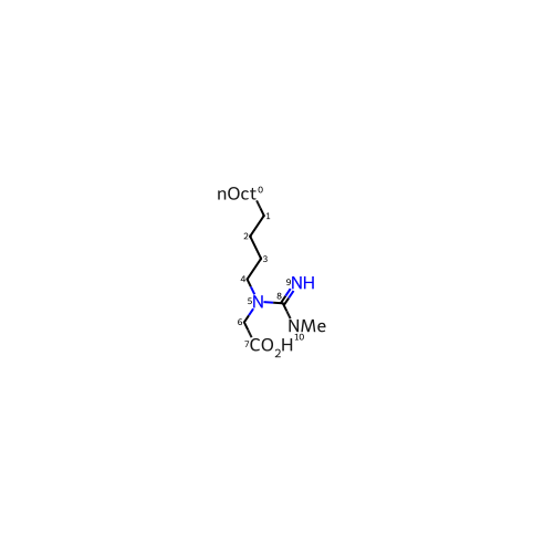 CCCCCCCCCCCCN(CC(=O)O)C(=N)NC